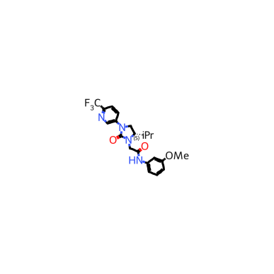 COc1cccc(NC(=O)CN2C(=O)N(c3ccc(C(F)(F)F)nc3)C[C@@H]2C(C)C)c1